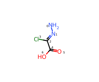 NN=C(Cl)C(=O)O